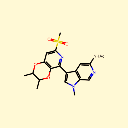 CC(=O)Nc1cc2c(-c3nc(S(C)(=O)=O)cc4c3OC(C)C(C)O4)cn(C)c2cn1